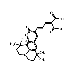 CC1(C)CCN2CCC(C)(C)c3c2c1cc1cc(C=CC=C(C(=O)O)C(=O)O)c(=O)oc31